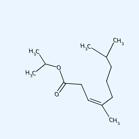 CC(=CCC(=O)OC(C)C)CCCC(C)C